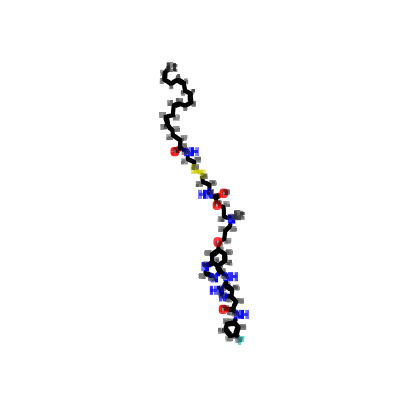 CC/C=C\C/C=C\C/C=C\C/C=C\C/C=C\CCCC(=O)NCCSSCCNC(=O)OCCN(CC)CCCOc1ccc2c(Nc3cc(CC(=O)Nc4cccc(F)c4)n[nH]3)ncnc2c1